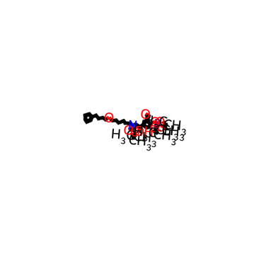 CC(C)(C)OC(=O)N(CCCCCCOCCCCc1ccccc1)CC(O)c1ccc(OP(=O)(OC(C)(C)C)OC(C)(C)C)c(C=O)c1